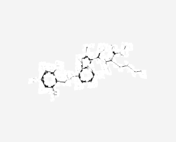 CCCCC(NC(=O)c1c(C)nc2c(OCc3c(F)cccc3F)cccn12)C(=O)OC